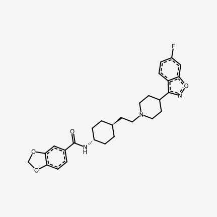 O=C(N[C@H]1CC[C@H](CCN2CCC(c3noc4cc(F)ccc34)CC2)CC1)c1ccc2c(c1)OCO2